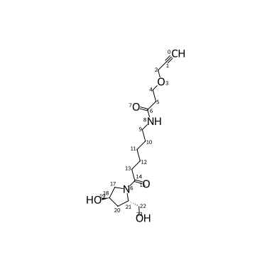 C#CCOCCC(=O)NCCCCCC(=O)N1C[C@H](O)C[C@H]1CO